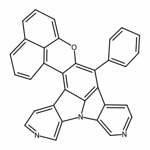 c1ccc(-c2c3oc4cccc5cccc(c54)c3c3c4ccncc4n4c5cnccc5c2c34)cc1